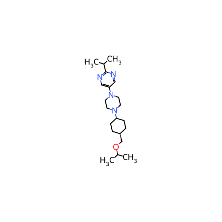 CC(C)OC[C@H]1CC[C@@H](N2CCN(c3cnc(C(C)C)nc3)CC2)CC1